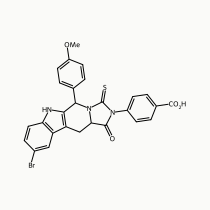 COc1ccc(C2c3[nH]c4ccc(Br)cc4c3CC3C(=O)N(c4ccc(C(=O)O)cc4)C(=S)N32)cc1